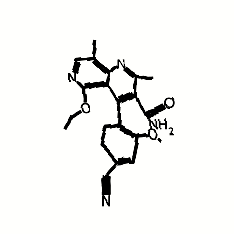 CCOc1ncc(C)c2nc(C)c(C(N)=O)c(C3=C(OC)C=C(C#N)CC3)c12